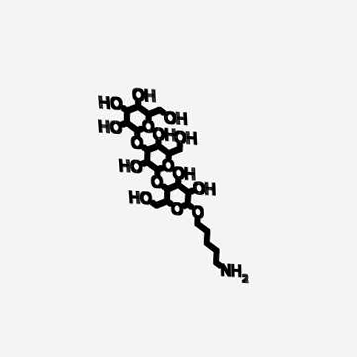 NCCCCCOC1OC(CO)C(OC2OC(CO)C(O)C(OC3OC(CO)C(O)C(O)C3O)C2O)C(O)C1O